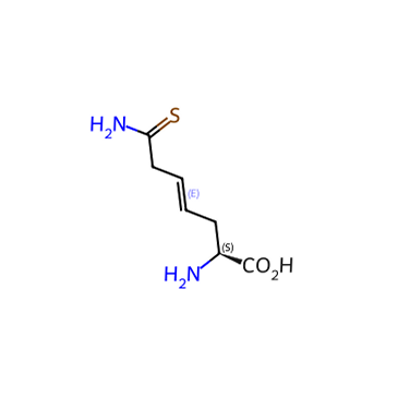 NC(=S)C/C=C/C[C@H](N)C(=O)O